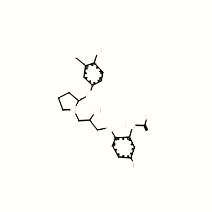 CC(=O)Nc1cc(F)ccc1OCC(O)CN1CCCC1Oc1ccc(Cl)c(Cl)c1